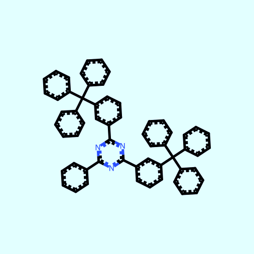 c1ccc(-c2nc(-c3cccc(C(c4ccccc4)(c4ccccc4)c4ccccc4)c3)nc(-c3cccc(C(c4ccccc4)(c4ccccc4)c4ccccc4)c3)n2)cc1